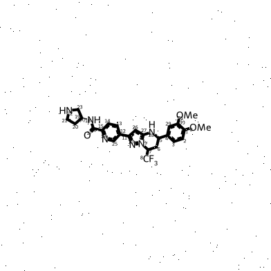 COc1ccc(C2CC(C(F)(F)F)n3nc(-c4ccc(C(=O)N[C@@H]5CCNC5)nc4)cc3N2)cc1OC